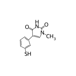 Cn1cc(-c2cccc(S)c2)c(=O)[nH]c1=O